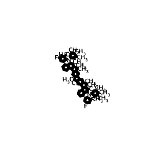 Cc1c(C)c(C)c(N(c2ccc(F)cc2F)c2cc3c(c4ccccc24)-c2cc4c(cc2C3(C)C)-c2cc3c(cc2C4(C)C)-c2c(cc(N(c4ccc(F)cc4F)c4c(C)c(C)c(C)c(C)c4C)c4ccccc24)C3(C)C)c(C)c1C